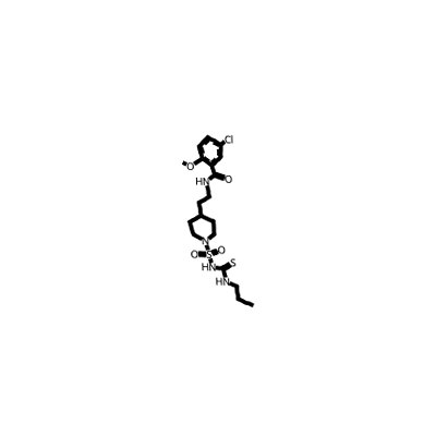 CCCNC(=S)NS(=O)(=O)N1CCC(CCNC(=O)c2cc(Cl)ccc2OC)CC1